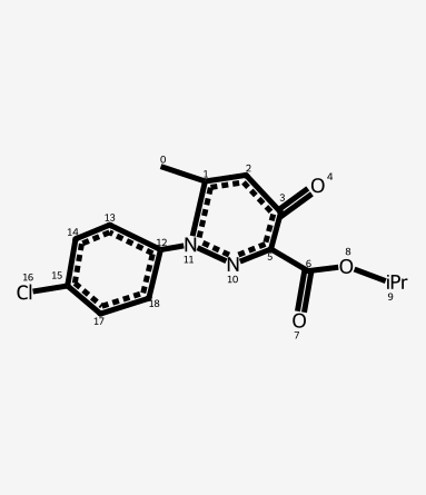 Cc1cc(=O)c(C(=O)OC(C)C)nn1-c1ccc(Cl)cc1